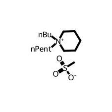 CCCCC[N+]1(CCCC)CCCCC1.CS(=O)(=O)[O-]